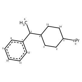 CCCC1CCC(C(C)c2ccccc2)CC1